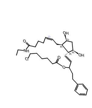 CCNC(=O)CCC/C=C\C[C@@H]1[C@@H](C=CC(CCc2ccccc2)OC(=O)CCCCCCl)[C@H](O)C[C@@H]1O